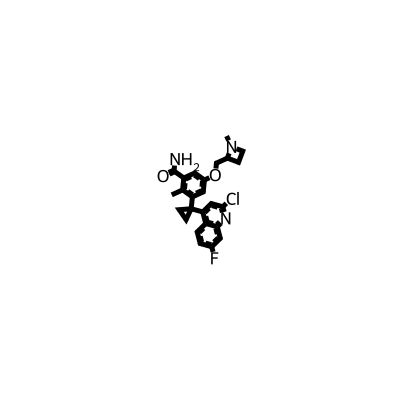 Cc1c(C(N)=O)cc(OCC2CCN2C)cc1C1(c2cc(Cl)nc3cc(F)ccc23)CC1